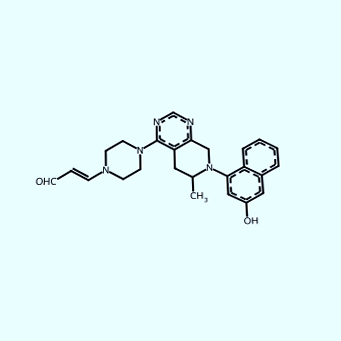 CC1Cc2c(ncnc2N2CCN(C=CC=O)CC2)CN1c1cc(O)cc2ccccc12